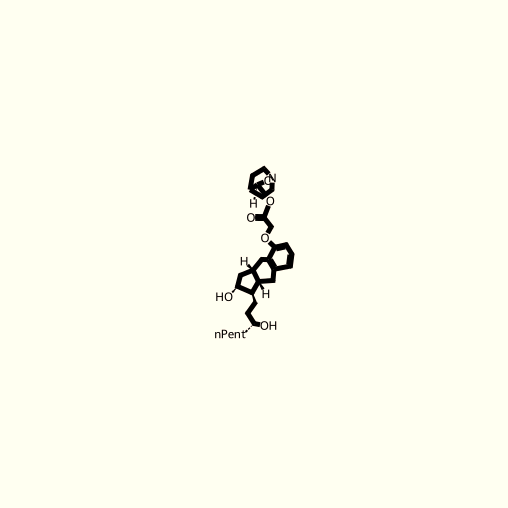 CCCCC[C@@H](O)CC[C@@H]1[C@H]2Cc3cccc(OCC(=O)O[C@@H]4CN5CCC4CC5)c3C[C@H]2C[C@H]1O